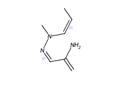 C=C(N)/C=N\N(C)/C=C\C